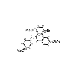 COc1ccc(CN(Cc2ccc(OC)cc2)c2nc(Br)ccc2OC)cc1